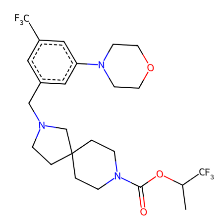 CC(OC(=O)N1CCC2(CCN(Cc3cc(N4CCOCC4)cc(C(F)(F)F)c3)C2)CC1)C(F)(F)F